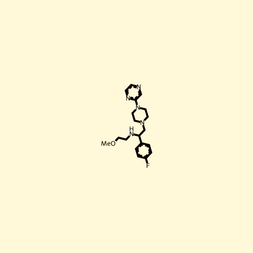 COCCNC(CN1CCN(c2cnccn2)CC1)c1ccc(F)cc1